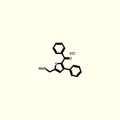 CNCc1cc(-c2ccccc2)c(C(=O)c2ccccc2)s1.Cl